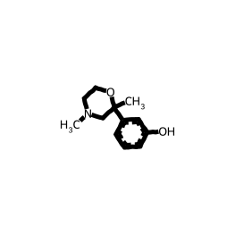 CN1CCOC(C)(c2cccc(O)c2)C1